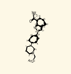 CC(=O)OCN1CCC[C@@H](c2ccc(-n3cc4cccc(C(N)=O)c4n3)cc2)C1